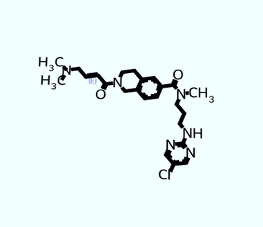 CN(C)C/C=C/C(=O)N1CCc2cc(C(=O)N(C)CCCNc3ncc(Cl)cn3)ccc2C1